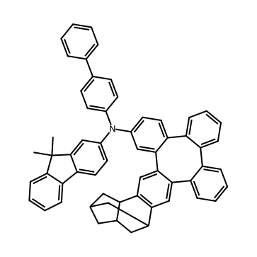 CC1(C)c2ccccc2-c2ccc(N(c3ccc(-c4ccccc4)cc3)c3ccc4c(c3)-c3cc5c(cc3-c3ccccc3-c3ccccc3-4)C3CC4CC(C3)C5C4)cc21